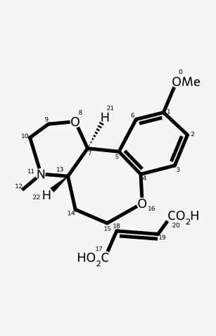 COc1ccc2c(c1)[C@@H]1OCCN(C)[C@H]1CCO2.O=C(O)C=CC(=O)O